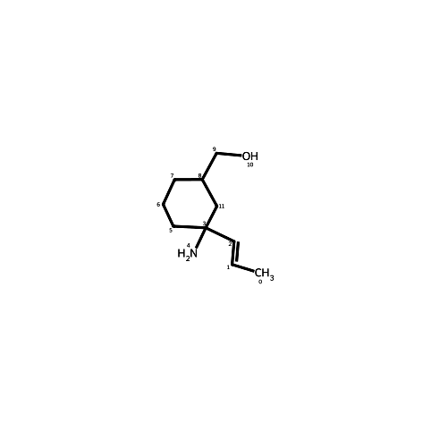 C/C=C/C1(N)CCCC(CO)C1